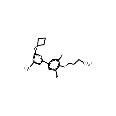 Cc1cc(OC2CCC2)nc(-c2cc(F)c(OCCCC(=O)O)c(F)c2)c1